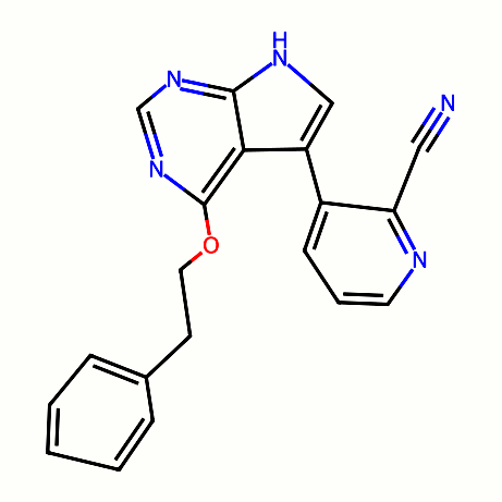 N#Cc1ncccc1-c1c[nH]c2ncnc(OCCc3ccccc3)c12